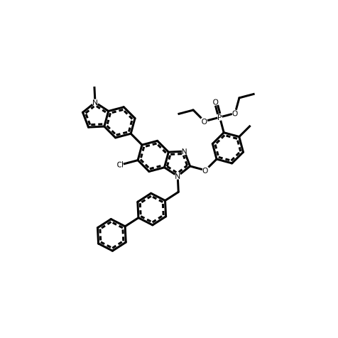 CCOP(=O)(OCC)c1cc(Oc2nc3cc(-c4ccc5c(ccn5C)c4)c(Cl)cc3n2Cc2ccc(-c3ccccc3)cc2)ccc1C